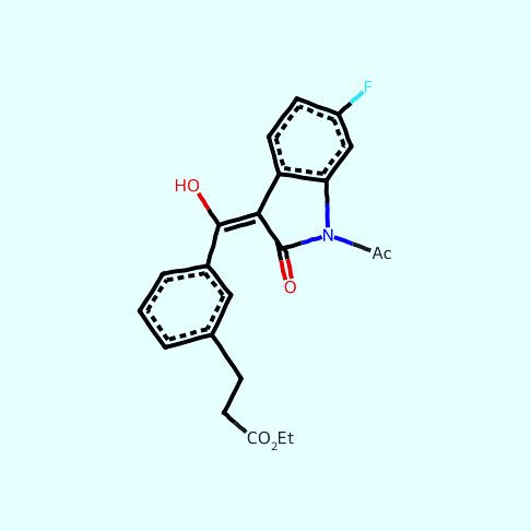 CCOC(=O)CCc1cccc(C(O)=C2C(=O)N(C(C)=O)c3cc(F)ccc32)c1